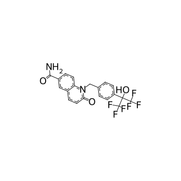 NC(=O)c1ccc2c(ccc(=O)n2Cc2ccc(C(O)(C(F)(F)F)C(F)(F)F)cc2)c1